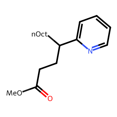 CCCCCCCCC(CCC(=O)OC)c1ccccn1